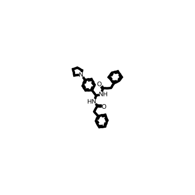 O=C(Cc1ccccc1)NC(NC(=O)Cc1ccccc1)c1ccc(N2CCCC2)cc1